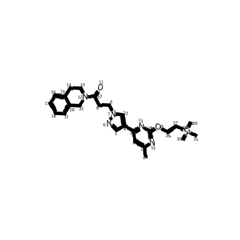 Cc1cc(-c2cnn(CCC(=O)N3CCc4ccccc4C3)c2)nc(OCC[Si](C)(C)C)n1